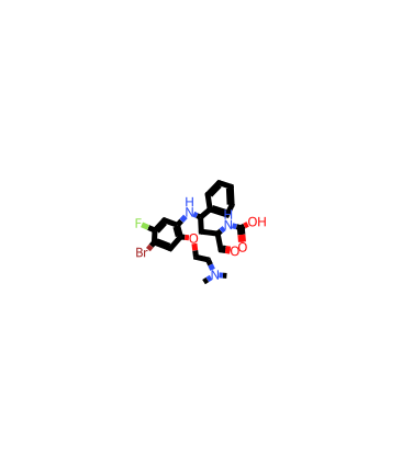 CN(C)CCOc1cc(Br)c(F)cc1NC(CC(C=O)NC(=O)O)c1ccccc1